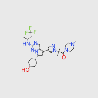 C[C@@H](CC(F)(F)F)Nc1ncc2c(-c3cnn(C(C)(C)C(=O)N4CCN(C)CC4)c3)cc([C@H]3CC[C@H](O)CC3)n2n1